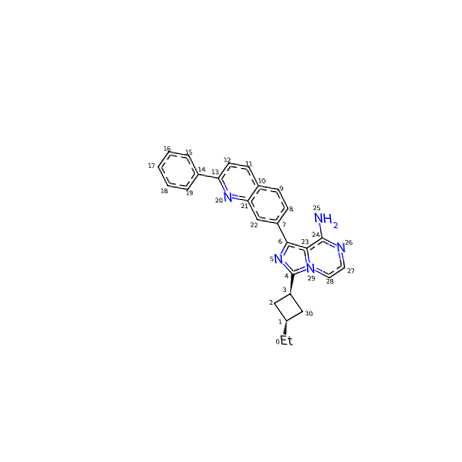 CC[C@H]1C[C@@H](c2nc(-c3ccc4ccc(-c5ccccc5)nc4c3)c3c(N)nccn32)C1